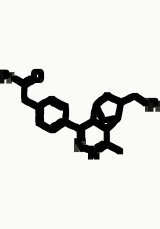 CC1=NN=C(c2ccc(CC(=O)C(C)C)cc2)C2C3CC(CC(C)C)C(C3)C12